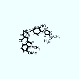 COc1cccc2c(-c3nc(Nc4ccc(N5CCC(N(C)C)C5)c([N+](=O)[O-])c4)ncc3Cl)cn(C)c12